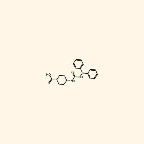 O=C(NN(c1ccccc1)c1ccccc1)N[C@H]1CC[C@@H](C(=O)O)CC1